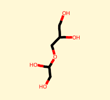 OCC(O)COC(O)CO